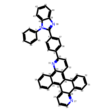 c1ccc(-n2c(-c3ccc(-c4ccc5c(n4)c4ccccc4c4c6cccnc6c6ccccc6c54)cc3)nc3ccccc32)cc1